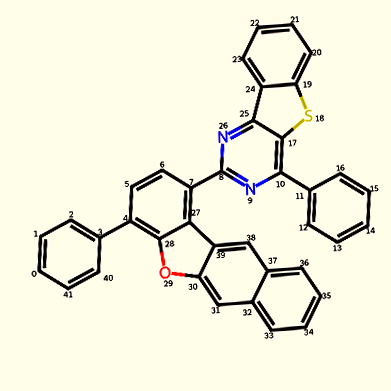 c1ccc(-c2ccc(-c3nc(-c4ccccc4)c4sc5ccccc5c4n3)c3c2oc2cc4ccccc4cc23)cc1